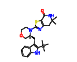 CC1(C)Cc2nc(N3CCOC[C@@H]3Cc3c([Si](C)(C)C)[nH]c4ccccc34)sc2C(=O)N1